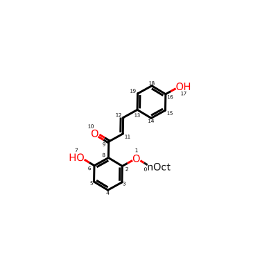 CCCCCCCCOc1cccc(O)c1C(=O)/C=C/c1ccc(O)cc1